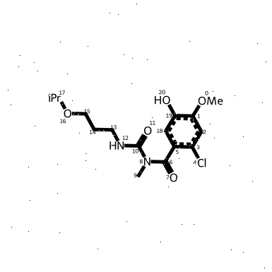 COc1cc(Cl)c(C(=O)N(C)C(=O)NCCCOC(C)C)cc1O